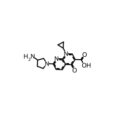 NC1CCN(c2ccc3c(=O)c(C(=O)O)cn(C4CC4)c3n2)C1